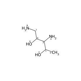 CC(O)C(N)C(O)CN